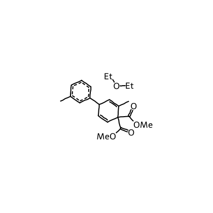 CCOCC.COC(=O)C1(C(=O)OC)C=CC(c2cccc(C)c2)C=C1C